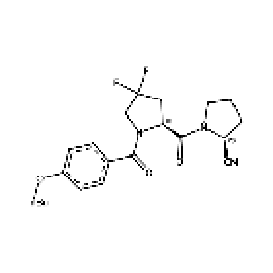 CCCCOc1ccc(C(=O)N2CC(F)(F)C[C@H]2C(=O)N2CCC[C@H]2C#N)cc1